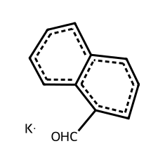 O=Cc1cccc2ccccc12.[K]